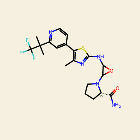 Cc1nc(NC2OC2N2CCC[C@H]2C(N)=O)sc1-c1ccnc(C(C)(C)C(F)(F)F)c1